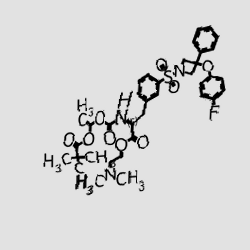 CC(OC(=O)N[C@@H](Cc1cccc(S(=O)(=O)N2CC(Oc3ccc(F)cc3)(c3ccccc3)C2)c1)C(=O)OCCN(C)C)OC(=O)C(C)(C)C